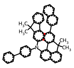 CC1(C)c2ccccc2-c2ccc(N(c3ccc(-c4ccccc4)cc3)c3ccc4cccc5c4c3-c3ccc(-c4ccc6ccccc6c4)cc3C5(C)C)cc21